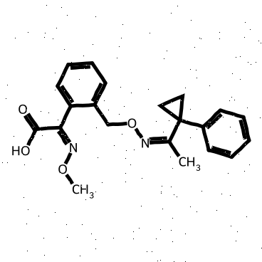 CON=C(C(=O)O)c1ccccc1CON=C(C)C1(c2ccccc2)CC1